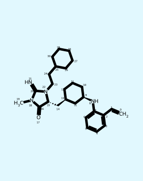 C=Cc1ccccc1N[C@@H]1CCC[C@H](C[C@@H]2C(=O)N(C)C(=N)N2CCC2CCCCC2)C1